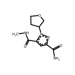 CNC(=O)c1[c]c(C(N)=O)nn1C1CCOC1